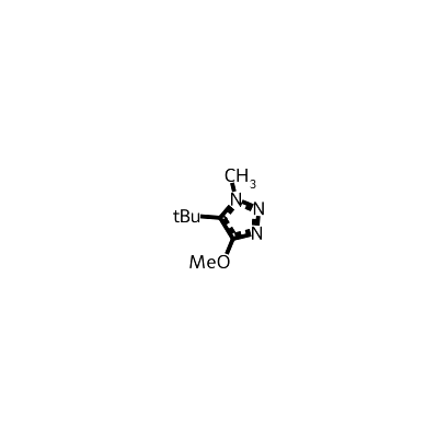 COc1nnn(C)c1C(C)(C)C